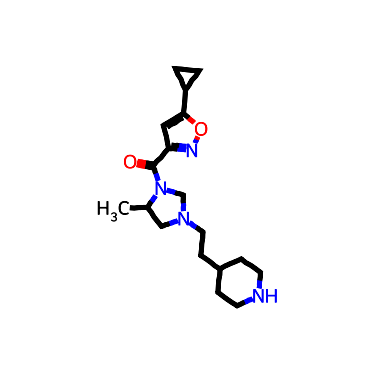 CC1CN(CCC2CCNCC2)CN1C(=O)c1cc(C2CC2)on1